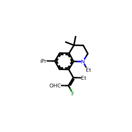 CC/C(=C(\F)C=O)c1cc(C(C)C)cc2c1N(CC)CCC2(C)C